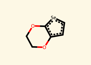 c1cc2c([se]1)OCCO2